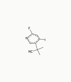 CC(C)(C#N)c1cnc(F)cc1I